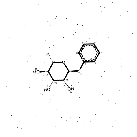 C[C@@H]1O[C@@H](Sc2ccccc2)[C@H](O)[C@H](O)[C@H]1O